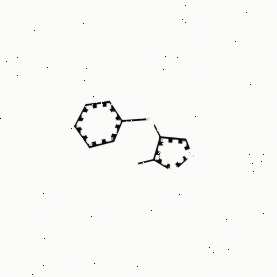 Fc1n[nH]cc1Nc1ccccc1